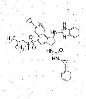 CC(C)CNS(=O)(=O)c1cc2c(c3cnc(C4CC4)cc13)[C@@H](Nc1nc3ccccc3[nH]1)C[C@@H]2NC(=O)NC1CC1c1ccccc1